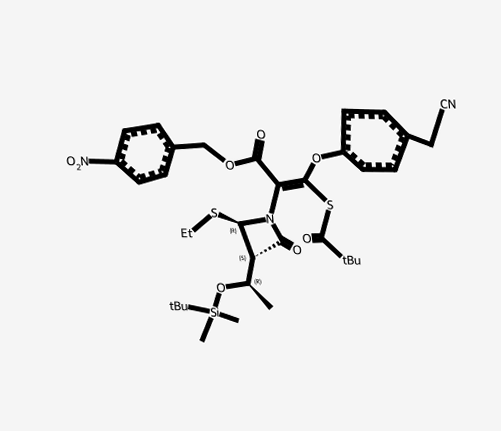 CCS[C@@H]1[C@@H]([C@@H](C)O[Si](C)(C)C(C)(C)C)C(=O)N1C(C(=O)OCc1ccc([N+](=O)[O-])cc1)=C(Oc1ccc(CC#N)cc1)SC(=O)C(C)(C)C